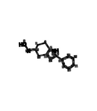 ON=C1CCc2[nH]c(-c3ccccc3)cc2C1